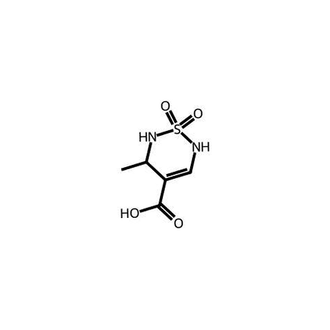 CC1NS(=O)(=O)NC=C1C(=O)O